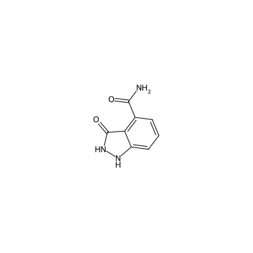 NC(=O)c1cccc2[nH][nH]c(=O)c12